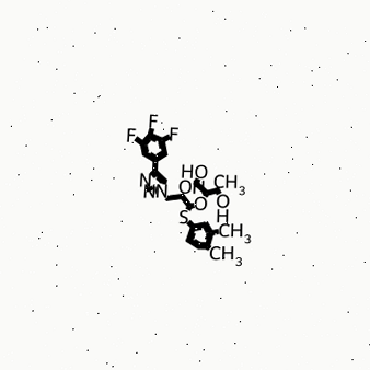 Cc1ccc(SC(OC(CO)[C@@H](C)O)[C@@H](O)Cn2cc(-c3cc(F)c(F)c(F)c3)nn2)cc1C